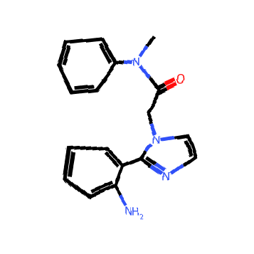 CN(C(=O)Cn1ccnc1-c1ccccc1N)c1ccccc1